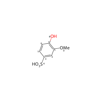 COc1cc(S(=O)(=O)O)ccc1O